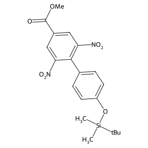 COC(=O)c1cc([N+](=O)[O-])c(-c2ccc(O[Si](C)(C)C(C)(C)C)cc2)c([N+](=O)[O-])c1